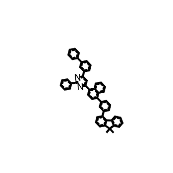 CC1(C)c2ccccc2-c2c(-c3cccc(-c4ccc(-c5cc(-c6cccc(-c7ccccc7)c6)nc(-c6ccccc6)n5)c5ccccc45)c3)cccc21